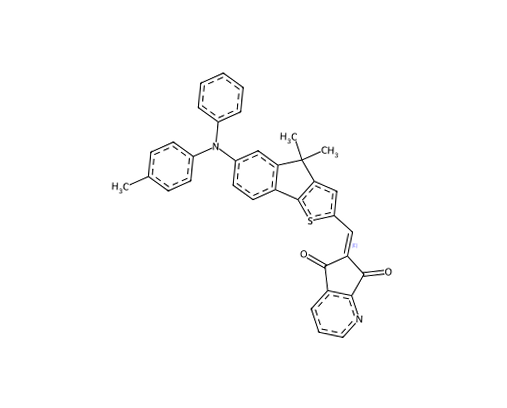 Cc1ccc(N(c2ccccc2)c2ccc3c(c2)C(C)(C)c2cc(/C=C4\C(=O)c5cccnc5C4=O)sc2-3)cc1